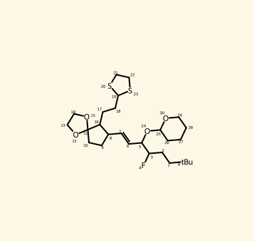 CC(C)(C)CCC(F)C(C=CC1CCC2(OCCO2)C1CCC1SCCS1)OC1CCCCO1